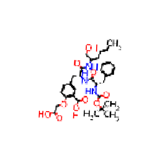 CCCCC(CO)NC(=O)[C@H](Cc1ccc(OCC(=O)O)c(C(=O)O)c1)NC(=O)[C@H](Cc1ccccc1)NC(=O)OC(C)(C)C